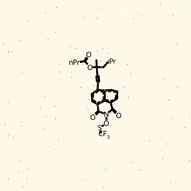 CCCC(=O)OC(C)(C#Cc1ccc2c3c(cccc13)C(=O)N(OSC(F)(F)F)C2=O)CC(C)C